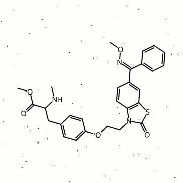 CNC(Cc1ccc(OCCn2c(=O)sc3cc(C(=NOC)c4ccccc4)ccc32)cc1)C(=O)OC